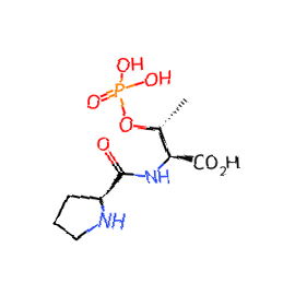 C[C@@H](OP(=O)(O)O)[C@H](NC(=O)[C@@H]1CCCN1)C(=O)O